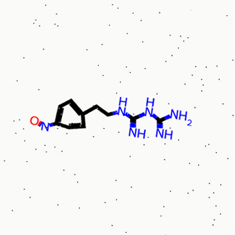 N=C(N)NC(=N)NCCc1ccc(N=O)cc1